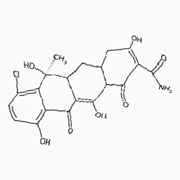 C[C@@]1(O)c2c(Cl)ccc(O)c2C(=O)C2=C(O)C3C(=O)C(C(N)=O)=C(O)CC3CC21